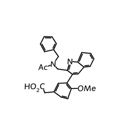 COc1ccc(CC(=O)O)cc1-c1cc2ccccc2nc1CN(Cc1ccccc1)C(C)=O